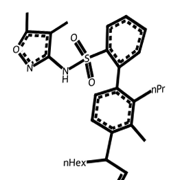 C=CC(CCCCCC)c1ccc(-c2ccccc2S(=O)(=O)Nc2noc(C)c2C)c(CCC)c1C